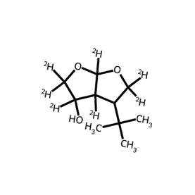 [2H]C1([2H])OC2([2H])OC([2H])([2H])C([2H])(O)C2([2H])C1C(C)(C)C